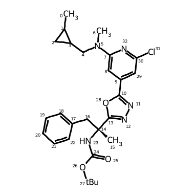 CC1CC1CN(C)c1cc(-c2nnc([C@@](C)(Cc3ccccc3)NC(=O)OC(C)(C)C)o2)cc(Cl)n1